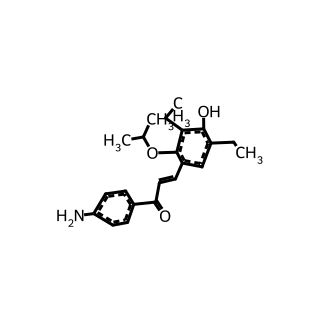 CCc1cc(C=CC(=O)c2ccc(N)cc2)c(OC(C)C)c(CC)c1O